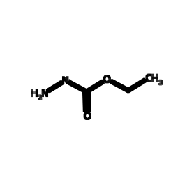 CCOC(=O)[N]N